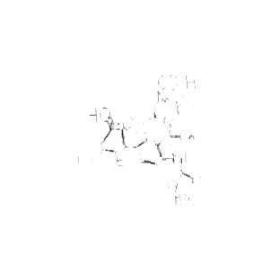 CC(C)(C)OC(=O)Nc1ccc(-c2cc(O)cc(C(F)(F)F)c2F)cc1C(=O)N1CCN(C(=O)O)CC1C(=O)O